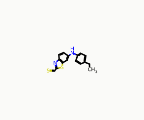 CCc1ccc(Nc2ccc3nc(C=S)sc3c2)cc1